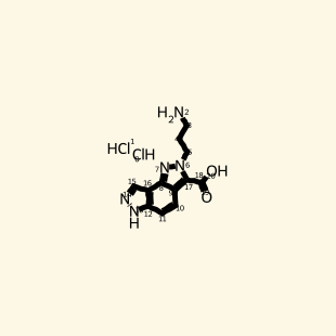 Cl.Cl.NCCCn1nc2c(ccc3[nH]ncc32)c1C(=O)O